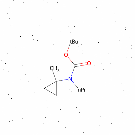 CCCN(C(=O)OC(C)(C)C)C1(C)CC1